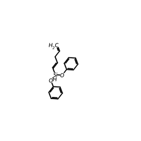 C=CCC=C[SiH](Oc1ccccc1)Oc1ccccc1